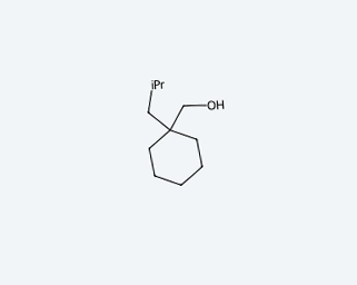 CC(C)CC1(CO)CCCCC1